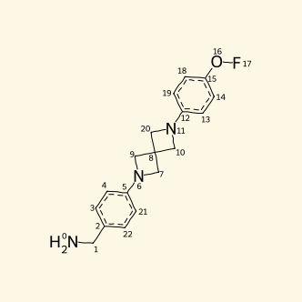 NCc1ccc(N2CC3(C2)CN(c2ccc(OF)cc2)C3)cc1